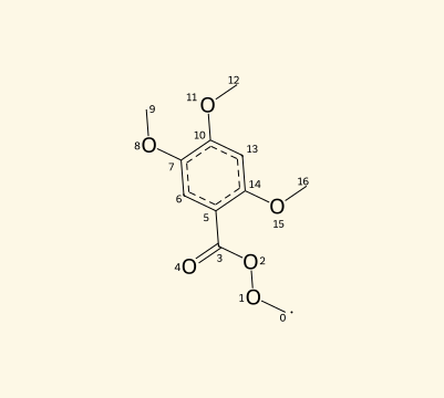 [CH2]OOC(=O)c1cc(OC)c(OC)cc1OC